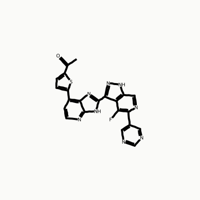 CC(=O)c1ccc(-c2ccnc3[nH]c(-c4n[nH]c5cnc(-c6cncnc6)c(F)c45)nc23)s1